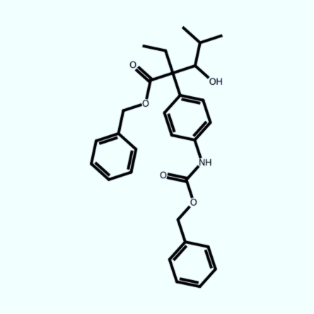 CCC(C(=O)OCc1ccccc1)(c1ccc(NC(=O)OCc2ccccc2)cc1)C(O)C(C)C